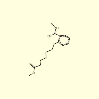 CNC(O)c1ccccc1SCCCCCC(=O)OC